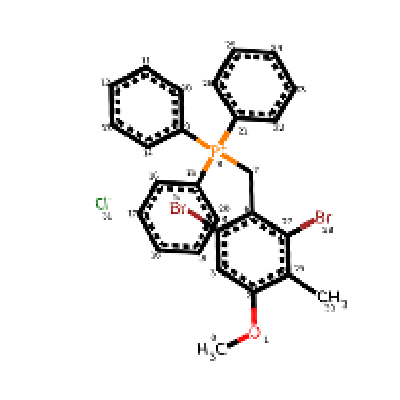 COc1cc(Br)c(C[P+](c2ccccc2)(c2ccccc2)c2ccccc2)c(Br)c1C.[Cl-]